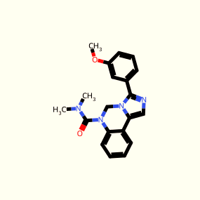 COc1cccc(-c2ncc3n2CN(C(=O)N(C)C)c2ccccc2-3)c1